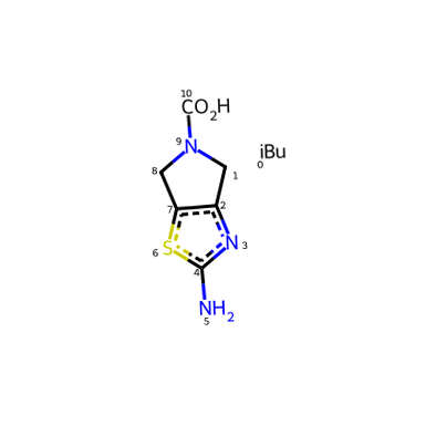 CC[C@H](C)C1c2nc(N)sc2CN1C(=O)O